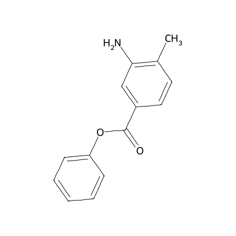 Cc1ccc(C(=O)Oc2ccccc2)cc1N